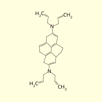 C=CCN(CC=C)C1=CC2=C3C(=CCC4=C3C(C=C(N(CC=C)CC=C)C4)CC2)C1